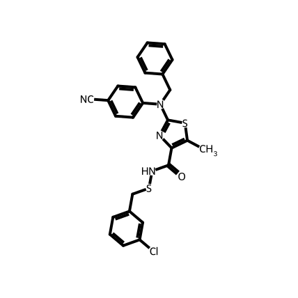 Cc1sc(N(Cc2ccccc2)c2ccc(C#N)cc2)nc1C(=O)NSCc1cccc(Cl)c1